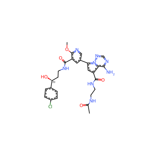 COc1ncc(-c2cc(C(=O)NCCNC(C)=O)c3c(N)ncnn23)cc1C(=O)NCC[C@H](O)c1ccc(Cl)cc1